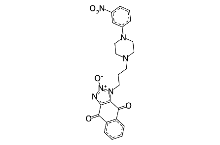 O=C1c2ccccc2C(=O)c2c1n[n+]([O-])n2CCCN1CCN(c2cccc([N+](=O)[O-])c2)CC1